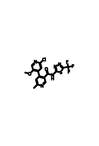 COc1cnc(Cl)cc1-c1cc(C)ncc1C(=O)Nc1nnc(C(F)(F)F)s1